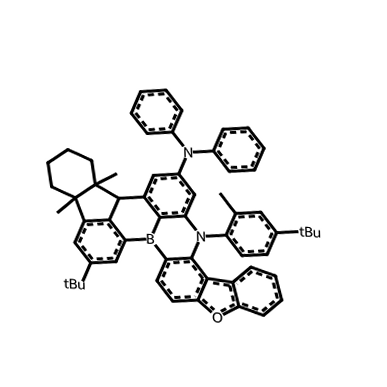 Cc1cc(C(C)(C)C)ccc1N1c2cc(N(c3ccccc3)c3ccccc3)cc3c2B(c2cc(C(C)(C)C)cc4c2C3C2(C)CCCCC42C)c2ccc3oc4ccccc4c3c21